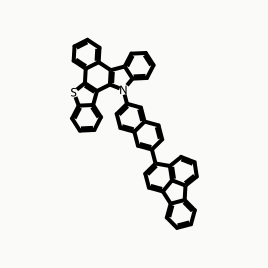 c1ccc2c(c1)-c1cccc3c(-c4ccc5cc(-n6c7ccccc7c7c8ccccc8c8sc9ccccc9c8c76)ccc5c4)ccc-2c13